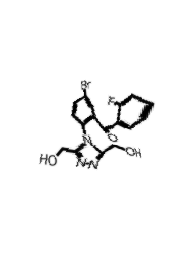 O=C(c1ccccc1F)c1cc(Br)ccc1-n1c(CO)nnc1CO